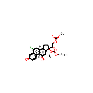 CCCCCOC(=O)O[C@]1(C(=O)COC(=O)OCCCC)CC[C@H]2[C@@H]3C[C@H](F)C4=CC(=O)C=C[C@]4(C)[C@H]3C(O)C[C@@]21C